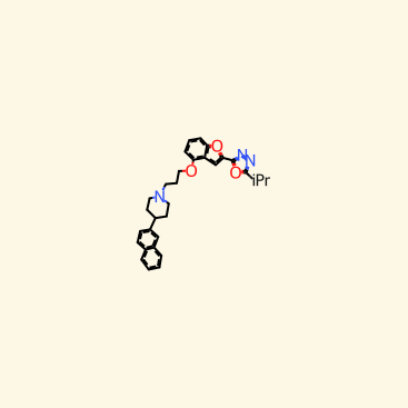 CC(C)c1nnc(-c2cc3c(OCCCN4CCC(c5ccc6ccccc6c5)CC4)cccc3o2)o1